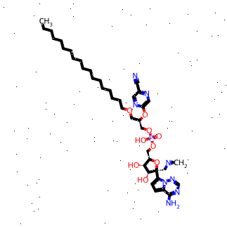 C=NC[C@@]1(c2ccc3c(N)ncnn23)O[C@H](COP(=O)(O)OC[C@@H](COCCCCCCCCCCCCCCCCCC)Oc2cnc(C#N)cn2)[C@@H](O)[C@H]1O